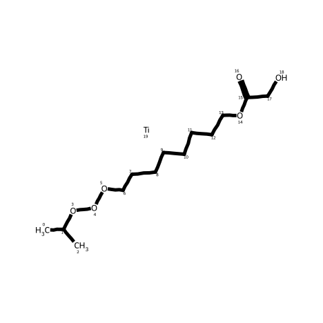 CC(C)OOOCCCCCCCCOC(=O)CO.[Ti]